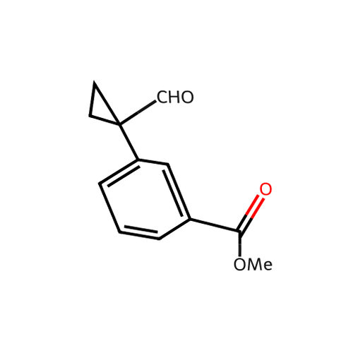 COC(=O)c1cccc(C2(C=O)CC2)c1